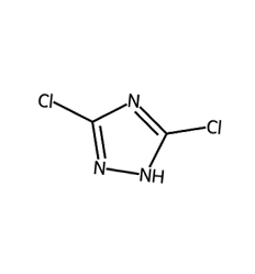 Clc1n[nH]c(Cl)n1